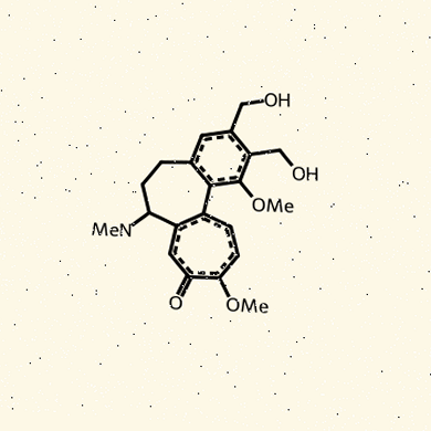 CNC1CCc2cc(CO)c(CO)c(OC)c2-c2ccc(OC)c(=O)cc21